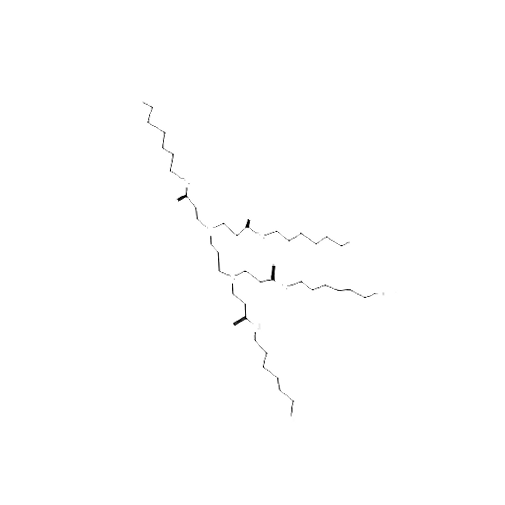 CCCCCCCCCCCCCCCCNC(=O)CCN(CCCN(CCC(=O)NCCCCCCCCCCCCCCCC)CCC(=O)NCCCCCCCCCCCCCCCC)CCC(=O)NCCCCCCCCCCCCCCCC